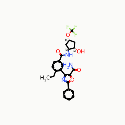 CCc1ccc(C(=O)N[C@H]2C[C@H](OC(F)(F)F)C[C@@H]2O)cc1-c1nc(-c2ccccc2)oc1C(N)=O